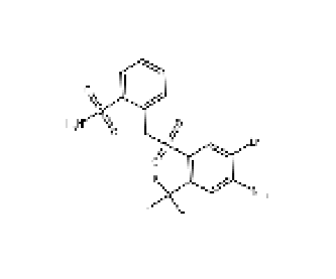 Nc1cc(C(F)(F)F)c(S(=O)(=O)Cc2ccccc2S(N)(=O)=O)cc1Br